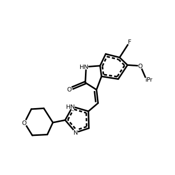 CC(C)Oc1cc2c(cc1F)NC(=O)C2=Cc1cnc(C2CCOCC2)[nH]1